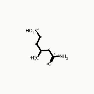 [CH2]C(CCS(=O)(=O)O)CC(N)=O